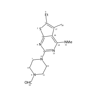 CCc1sc2nc(N3CCN(C=O)CC3)nc(NC)c2c1C